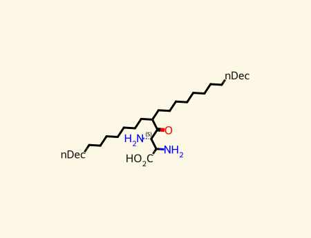 CCCCCCCCCCCCCCCCCCC(CCCCCCCCCCCCCCCCC)C(=O)[C@@H](N)C(N)C(=O)O